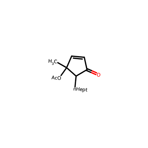 CCCCCCCC1C(=O)C=CC1(C)OC(C)=O